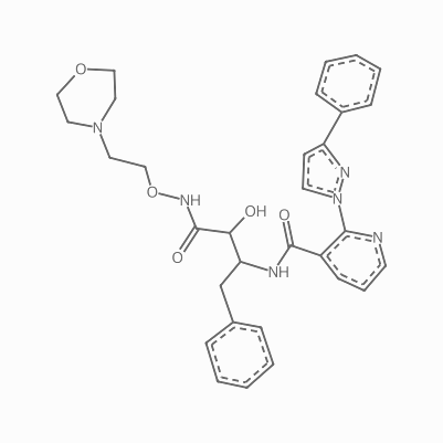 O=C(NC(Cc1ccccc1)C(O)C(=O)NOCCN1CCOCC1)c1cccnc1-n1ccc(-c2ccccc2)n1